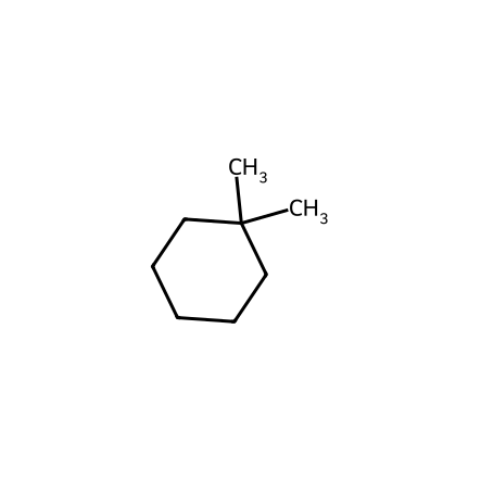 CC1(C)CCCCC1